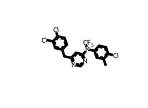 Cc1cc(N(c2cc(Cc3ccc(Cl)c(Cl)c3)ncn2)C(F)(F)F)ccc1Cl